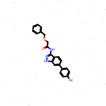 CC(=O)c1ccc(-c2ccc3c(NC(=O)COCc4ccccc4)n[nH]c3c2)cc1